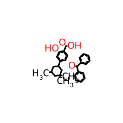 CC1CC(c2ccc(C(=O)O)c(O)c2)CC(C)(C)C1.O=C(c1ccccc1)c1ccccc1